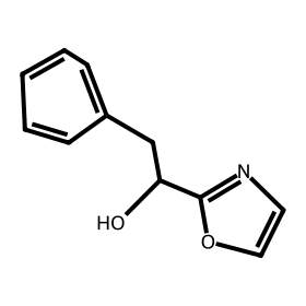 OC(Cc1ccccc1)c1ncco1